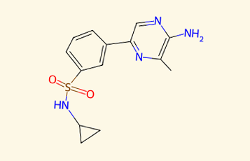 Cc1nc(-c2cccc(S(=O)(=O)NC3CC3)c2)cnc1N